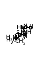 CC(C)N(Cc1cc(F)cc(-c2cncc3[nH]c(-c4n[nH]c5ncc(-c6cccnc6)cc45)nc23)c1)C(C)C